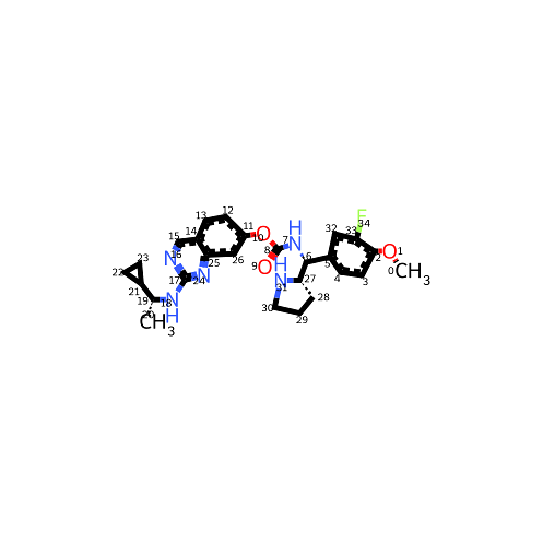 COc1ccc([C@@H](NC(=O)Oc2ccc3cnc(N[C@H](C)C4CC4)nc3c2)[C@@H]2CCCN2)cc1F